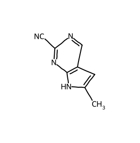 Cc1cc2cnc(C#N)nc2[nH]1